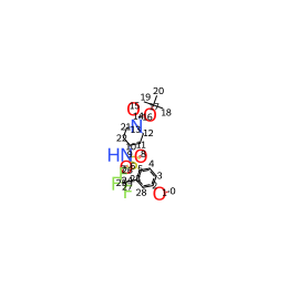 COc1ccc(S(=O)(=O)NC2CCN(C(=O)OC(C)(C)C)CC2)c(C(F)(F)F)c1